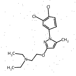 CCN(CC)CCOc1cc(C)n(-c2ccc(Cl)c(Cl)c2)n1